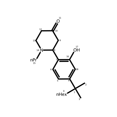 CCCCCCC(C)(C)c1ccc(C2CC(=O)CCN2CCC)c(O)c1